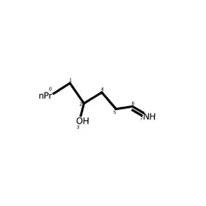 CCCCC(O)CCC=N